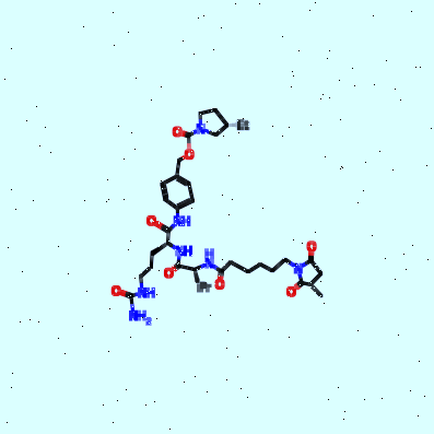 CC[C@H]1CCN(C(=O)OCc2ccc(NC(=O)[C@H](CCCNC(N)=O)NC(=O)[C@@H](NC(=O)CCCCCN3C(=O)CC(C)C3=O)C(C)C)cc2)C1